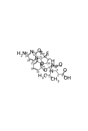 CC(C)N(CCC(=O)O)C(NP=O)(Oc1ccccc1)[C@H]1[CH]C(F)(F)C(n2ccc(N)nc2=O)O1